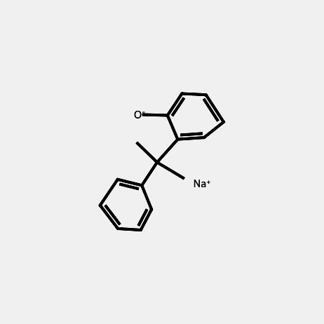 CC(C)(c1ccccc1)c1ccccc1[O-].[Na+]